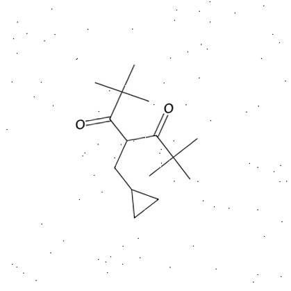 CC(C)(C)C(=O)C(CC1CC1)C(=O)C(C)(C)C